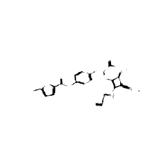 CCCNc1c(N[C@@H](Cc2ccc(NC(=O)c3ccc(Cl)s3)cc2)C(=O)O)c(=O)c1=O